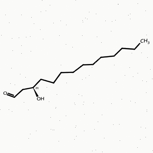 CCCCCCCCCCC[C@@H](O)CC=O